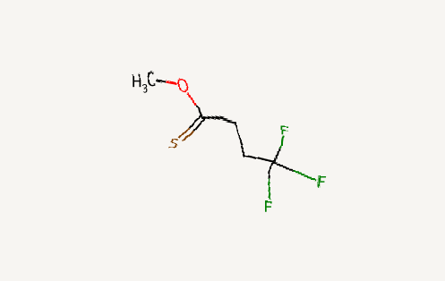 COC(=S)CCC(F)(F)F